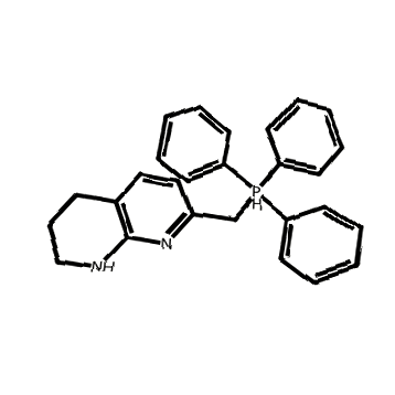 c1ccc([PH](Cc2ccc3c(n2)NCCC3)(c2ccccc2)c2ccccc2)cc1